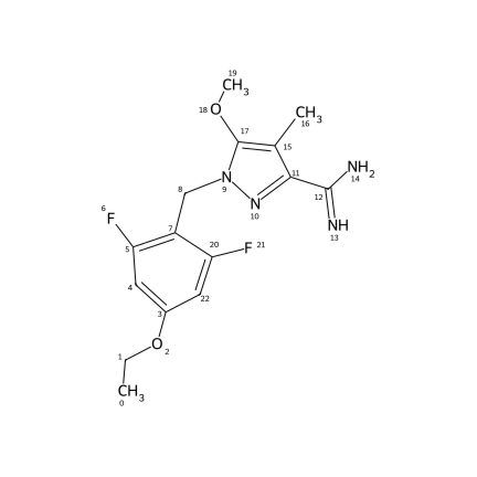 CCOc1cc(F)c(Cn2nc(C(=N)N)c(C)c2OC)c(F)c1